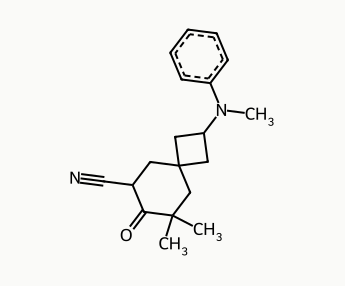 CN(c1ccccc1)C1CC2(CC(C#N)C(=O)C(C)(C)C2)C1